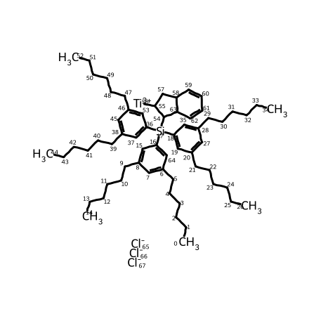 CCCCCCc1cc(CCCCCC)cc([Si](c2cc(CCCCCC)cc(CCCCCC)c2)(c2cc(CCCCCC)cc(CCCCCC)c2)C2[CH]([Ti+3])CC3C=CC=CC32)c1.[Cl-].[Cl-].[Cl-]